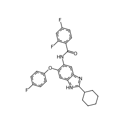 O=C(Nc1cc2nc(C3CCCCC3)[nH]c2cc1Oc1ccc(F)cc1)c1ccc(F)cc1F